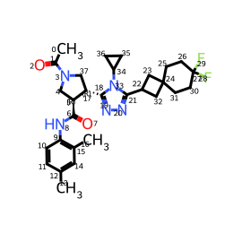 CC(=O)N1C[C@H](C(=O)Nc2ccc(C)cc2C)[C@@H](c2nnc(C3CC4(CCC(F)(F)CC4)C3)n2C2CC2)C1